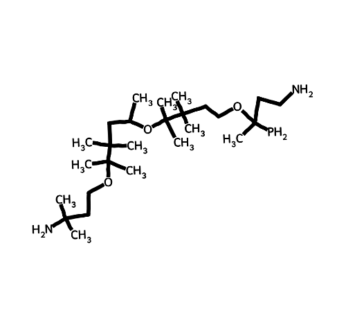 CC(CC(C)(C)C(C)(C)OCCC(C)(C)N)OC(C)(C)C(C)(C)CCOC(C)(P)CCN